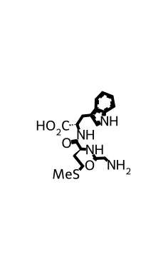 CSCC[C@H](NC(=O)CN)C(=O)N[C@@H](Cc1c[nH]c2ccccc12)C(=O)O